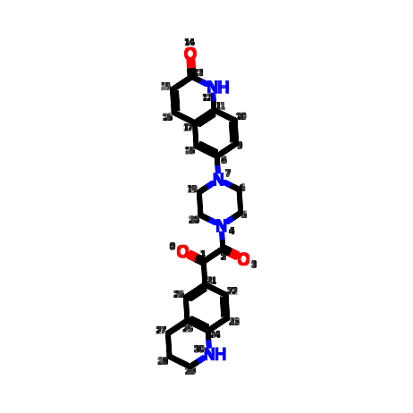 O=C(C(=O)N1CCN(c2ccc3[nH]c(=O)ccc3c2)CC1)c1ccc2c(c1)CCCN2